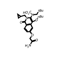 CCCCOc1c(N(CC(C)(C)C)C(=O)O)n(CC2CC2)c(=O)c2ccc(OCC(N)=O)cc12